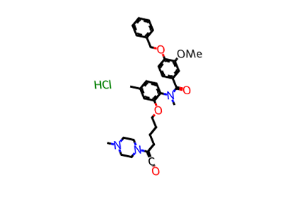 COc1cc(C(=O)N(C)c2ccc(C)cc2OCCCCC(=C=O)N2CCN(C)CC2)ccc1OCc1ccccc1.Cl